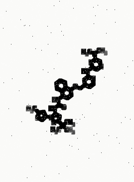 Cc1cc(-n2nc(C(C)(C)C)cc2NC(=O)Nc2ccc(OCc3ccnc(Nc4cncc(N(C)C)n4)c3)c3ccccc23)cs1